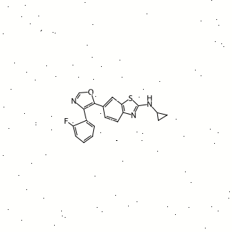 Fc1ccccc1-c1ncoc1-c1ccc2nc(NC3CC3)sc2c1